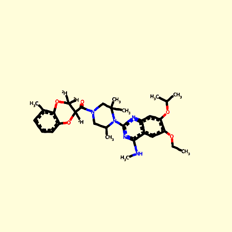 [2H]C1([2H])Oc2c(C)cccc2OC1([2H])C(=O)N1CC(C)N(c2nc(NC)c3cc(OCC)c(OC(C)C)cc3n2)C(C)(C)C1